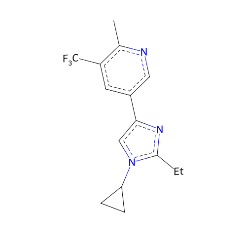 CCc1nc(-c2cnc(C)c(C(F)(F)F)c2)cn1C1CC1